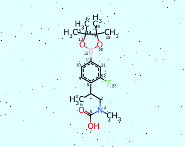 CC(CN(C)C(=O)O)c1ccc(B2OC(C)(C)C(C)(C)O2)cc1F